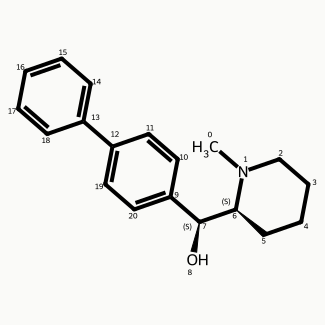 CN1CCCC[C@H]1[C@@H](O)c1ccc(-c2ccccc2)cc1